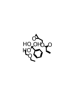 C=CC(=O)OCC1CO1.CCOCC.OC(O)(O)c1ccccc1